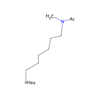 [CH2]C(=O)N(C)CCCCCCCCCCCC